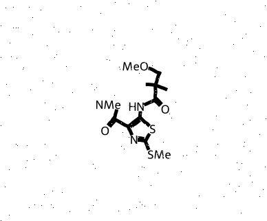 CNC(=O)c1nc(SC)sc1NC(=O)C(C)(C)COC